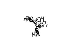 CCCc1c(OCCCC(=C2SC(=O)NC2=O)c2ccc3[nH]ccc3c2)ccc2c(C(F)(F)F)noc12